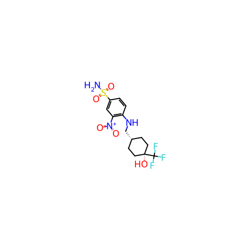 NS(=O)(=O)c1ccc(NC[C@H]2CC[C@](O)(C(F)(F)F)CC2)c([N+](=O)[O-])c1